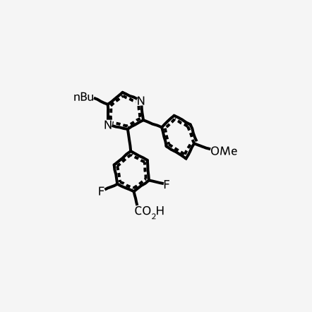 CCCCc1cnc(-c2ccc(OC)cc2)c(-c2cc(F)c(C(=O)O)c(F)c2)n1